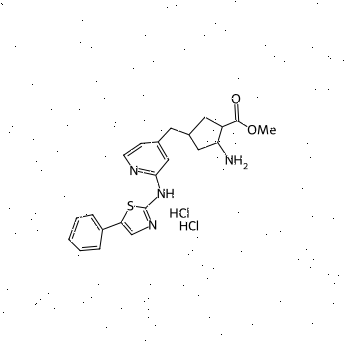 COC(=O)C1CC(Cc2ccnc(Nc3ncc(-c4ccccc4)s3)c2)CC1N.Cl.Cl